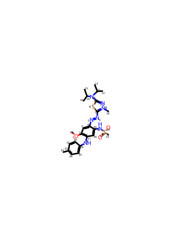 COc1cc(N=Nc2sc(N(C(C)C)C(C)C)n[n+]2C)c(NS(C)(=O)=O)cc1Nc1ccc(C)cc1